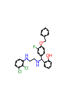 Oc1ccccc1C(NCCNc1cccc(Cl)c1Cl)c1ccc(OCc2ccccc2)c(F)c1